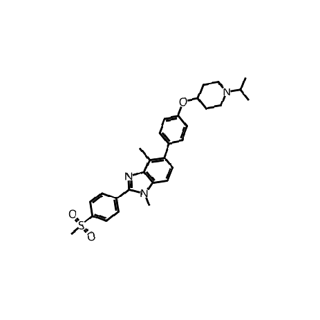 Cc1c(-c2ccc(OC3CCN(C(C)C)CC3)cc2)ccc2c1nc(-c1ccc(S(C)(=O)=O)cc1)n2C